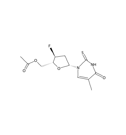 CC(=O)OC[C@H]1O[C@@H](n2cc(C)c(=O)[nH]c2=S)C[C@@H]1F